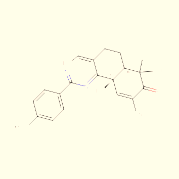 C/C=C1/CC[C@H]2C(C)(C)C(=O)C(C#N)=C[C@]2(C)/C1=N/C(=N)c1ccc(OC)cc1